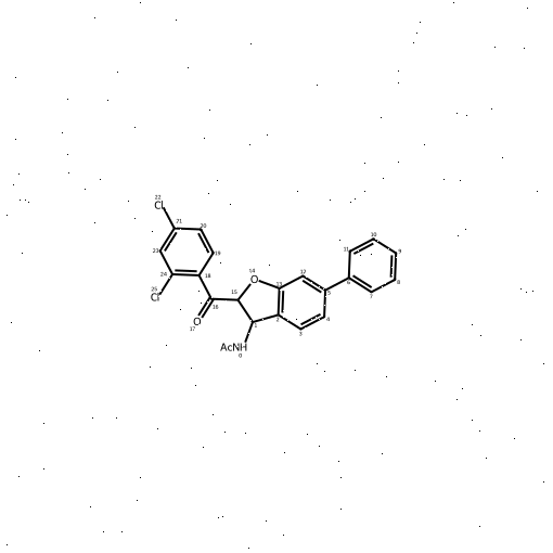 CC(=O)NC1c2ccc(-c3ccccc3)cc2OC1C(=O)c1ccc(Cl)cc1Cl